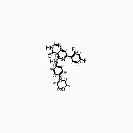 O=c1[nH]cnc2cc(-c3ccc(F)cc3F)nc(Nc3ccc(N4CCOCC4)cc3)c12